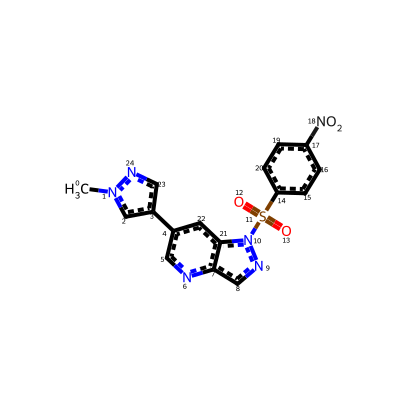 Cn1cc(-c2cnc3cnn(S(=O)(=O)c4ccc([N+](=O)[O-])cc4)c3c2)cn1